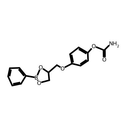 NC(=O)Oc1ccc(OCC2COB(c3ccccc3)O2)cc1